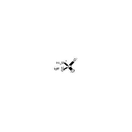 F.O=S(=O)(O)[SiH3]